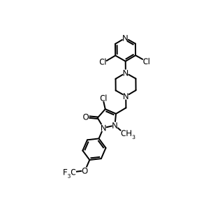 Cn1c(CN2CCN(c3c(Cl)cncc3Cl)CC2)c(Cl)c(=O)n1-c1ccc(OC(F)(F)F)cc1